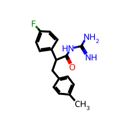 Cc1ccc(CC(C(=O)NC(=N)N)c2ccc(F)cc2)cc1